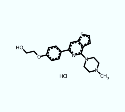 CN1CCN(c2nc(-c3ccc(OCCO)cc3)cc3sccc23)CC1.Cl